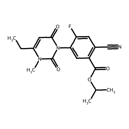 CCc1cc(=O)n(-c2cc(C(=O)OC(C)C)c(C#N)cc2F)c(=O)n1C